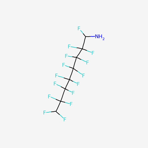 NC(F)C(F)(F)C(F)(F)C(F)(F)C(F)(F)C(F)(F)C(F)(F)C(F)F